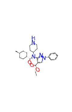 CCOC(=O)c1cn(-c2ccccc2)nc1N(C(=O)[C@H]1CC[C@H](C)CC1)C1CCNCC1